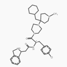 CN1CCC(CC2CCCCC2)(N2CCN(C(=O)[C@@H](Cc3ccc(Cl)cc3)NC(=O)CC3NCc4ccccc43)CC2)CC1